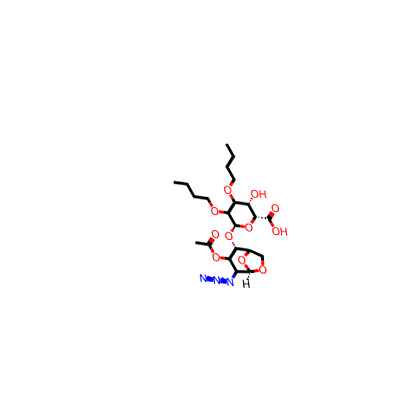 CCCCOC1C(OCCCC)[C@H](O)[C@H](C(=O)O)O[C@H]1O[C@@H]1C2CO[C@H](O2)C(N=[N+]=[N-])C1OC(C)=O